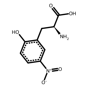 N[C@@H](Cc1cc([N+](=O)[O-])ccc1O)C(=O)O